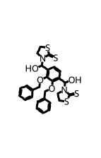 OC(c1ccc(C(O)N2CCSC2=S)c(OCc2ccccc2)c1OCc1ccccc1)N1CCSC1=S